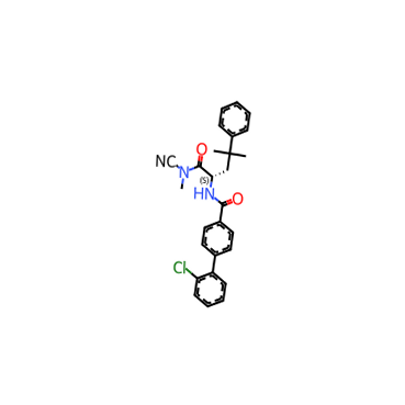 CN(C#N)C(=O)[C@H](CC(C)(C)c1ccccc1)NC(=O)c1ccc(-c2ccccc2Cl)cc1